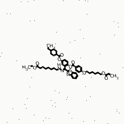 C=CC(=O)OCCCCCCOc1ccc(C(=O)Oc2ccc(OC(=O)C3CCC(CC)CC3)cc2C(=NNCCCCCCCC(=O)OCC)c2nc3ccccc3s2)cc1